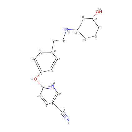 N#Cc1ccc(Oc2ccc(CCNC3CCCC(O)C3)cc2)nc1